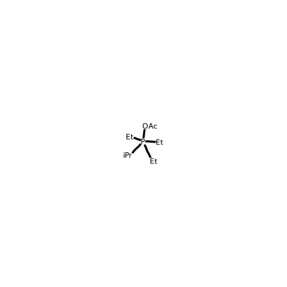 CCP(CC)(CC)(OC(C)=O)C(C)C